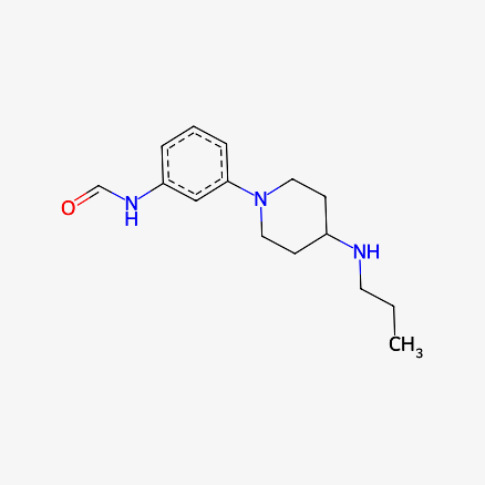 CCCNC1CCN(c2cccc(NC=O)c2)CC1